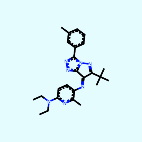 CCN(CC)c1ccc(N=C2C(C(C)(C)C)=Nn3c2nnc3-c2cccc(C)c2)c(C)n1